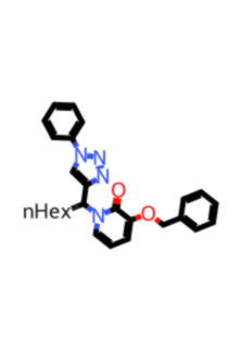 CCCCCCC(c1cn(-c2ccccc2)nn1)n1cccc(OCc2ccccc2)c1=O